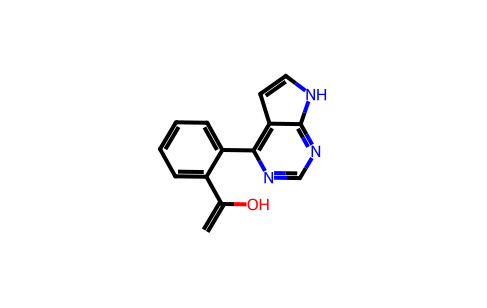 C=C(O)c1ccccc1-c1ncnc2[nH]ccc12